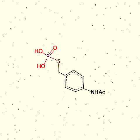 CC(=O)Nc1ccc(CSP(=O)(O)O)cc1